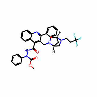 COC(=O)N(NC(=O)c1c(CN2C[C@H]3C[C@@H]2CN3CCC(F)(F)F)c(-c2ccccc2)nc2ccccc12)c1ccccc1